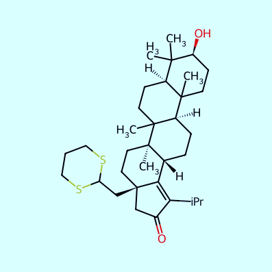 CC(C)C1=C2[C@H]3CC[C@@H]4C5(C)CC[C@H](O)C(C)(C)[C@@H]5CCC4(C)[C@]3(C)CC[C@@]2(CC2SCCCS2)CC1=O